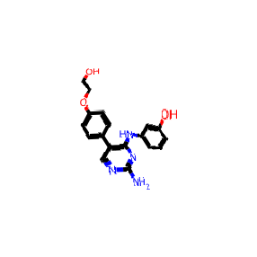 Nc1ncc(-c2ccc(OCCO)cc2)c(Nc2cccc(O)c2)n1